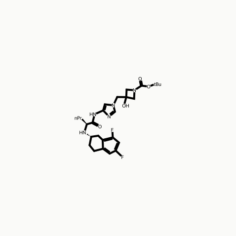 CCC[C@H](N[C@H]1CCc2cc(F)cc(F)c2C1)C(=O)Nc1cn(CC2(O)CN(C(=O)OC(C)(C)C)C2)cn1